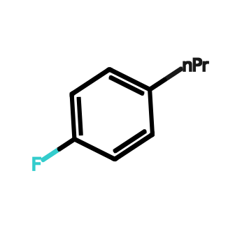 C[CH]Cc1ccc(F)cc1